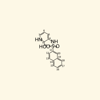 O=S(=O)(NC1=CC=CNC1O)c1ccc2ccccc2c1